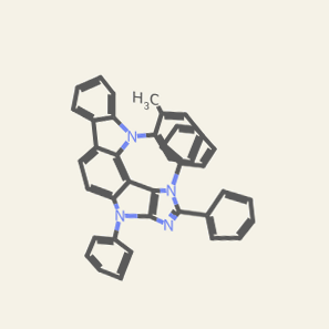 Cc1ccccc1-n1c2ccccc2c2ccc3c(c4c(nc(-c5ccccc5)n4-c4ccccc4)n3-c3ccccc3)c21